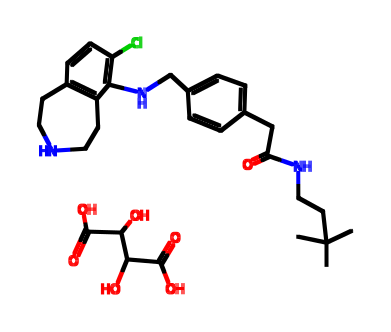 CC(C)(C)CCNC(=O)Cc1ccc(CNc2c(Cl)ccc3c2CCNCC3)cc1.O=C(O)C(O)C(O)C(=O)O